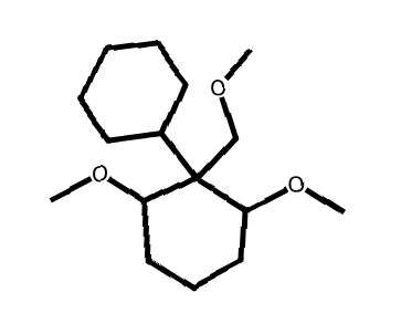 COCC1(C2CCCCC2)C(OC)CCCC1OC